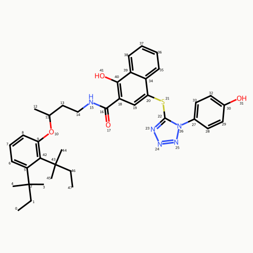 CCC(C)(C)c1cccc(OC(C)CCNC(=O)c2cc(Sc3nnnn3-c3ccc(O)cc3)c3ccccc3c2O)c1C(C)(C)CC